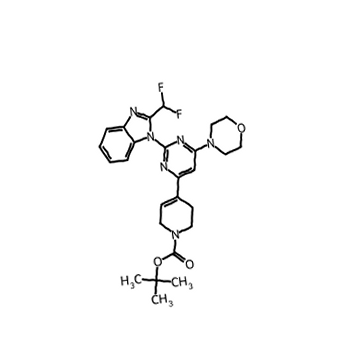 CC(C)(C)OC(=O)N1CC=C(c2cc(N3CCOCC3)nc(-n3c(C(F)F)nc4ccccc43)n2)CC1